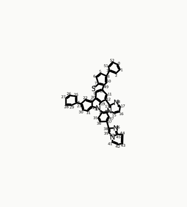 c1ccc(-c2ccc3sc4c(cc(-c5ncccn5)c5c4c4cc(-c6ccccc6)ccc4n5-c4ccc(-c5cn6ccccc6n5)cc4)c3c2)cc1